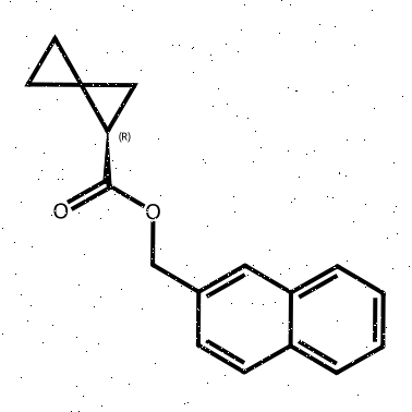 O=C(OCc1ccc2ccccc2c1)[C@@H]1CC12CC2